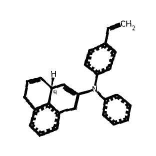 C=Cc1ccc(N(C2=C[C@H]3C=CCc4cccc(c43)C2)c2ccccc2)cc1